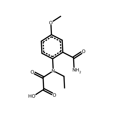 CCN(C(=O)C(=O)O)c1ccc(OC)cc1C(N)=O